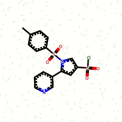 Cc1ccc(S(=O)(=O)n2cc(S(=O)(=O)Cl)cc2-c2cccnc2)cc1